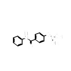 O=C(Nc1ccccc1)c1ccc(OB(O)O)cc1